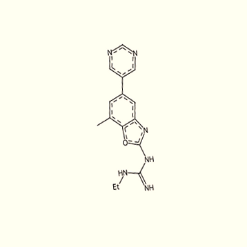 CCNC(=N)Nc1nc2cc(-c3cncnc3)cc(C)c2o1